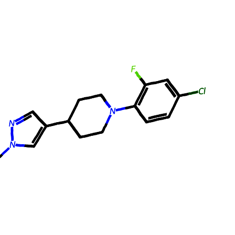 Cn1cc(C2CCN(c3ccc(Cl)cc3F)CC2)cn1